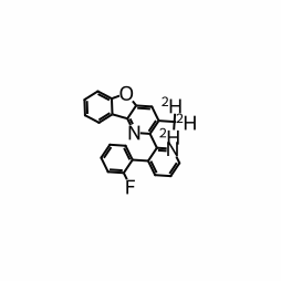 [2H]C([2H])([2H])c1cc2oc3ccccc3c2nc1-c1ncccc1-c1ccccc1F